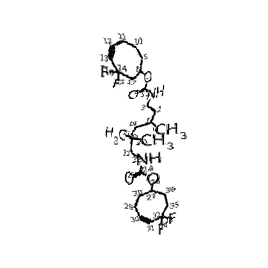 CC(CCNC(=O)OC1CCCC#CC(F)(F)C1)CC(C)(C)CNC(=O)OC1CCC#CC(F)(F)CC1